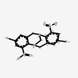 O=[N+]([O-])c1cc(F)cc2c1N1Cc3cc(F)cc([N+](=O)[O-])c3N(C2)C1